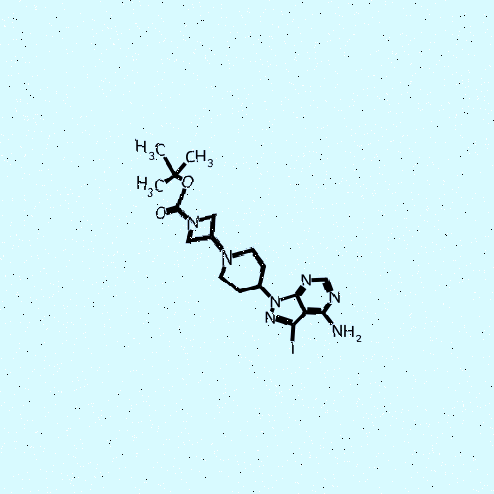 CC(C)(C)OC(=O)N1CC(N2CCC(n3nc(I)c4c(N)ncnc43)CC2)C1